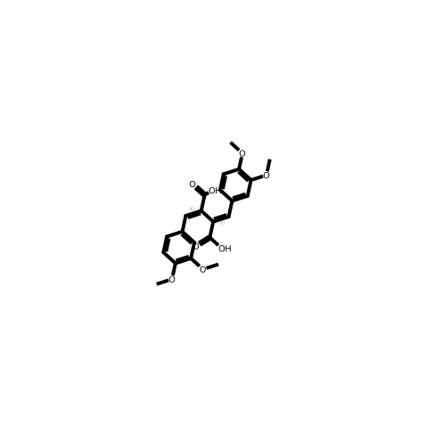 COc1ccc(/C=C(C(=O)O)\C(=C/c2ccc(OC)c(OC)c2)C(=O)O)cc1OC